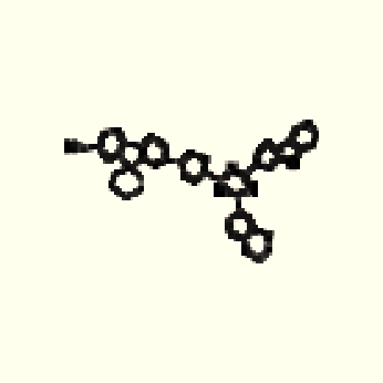 N#Cc1ccc2c(c1)C1(CCCCC1)c1cc(-c3ccc(-c4nc(-c5ccc6ccccc6c5)nc(-c5ccc6c(c5)oc5ccccc56)n4)cc3)ccc1-2